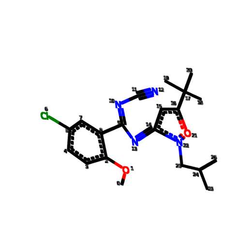 COc1ccc(Cl)cc1C(=NC#N)N=c1cc(C(C)(C)C)on1CC(C)C